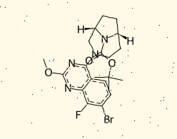 COc1nc(N2CC[C@H]3CC[C@@H](C2)N3C(=O)OC(C)(C)C)c2ccc(Br)c(F)c2n1